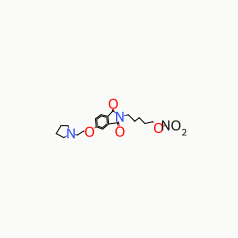 O=C1c2ccc(OCCN3CCCC3)cc2C(=O)N1CCCCCO[N+](=O)[O-]